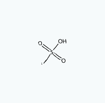 [CH]S(=O)(=O)O